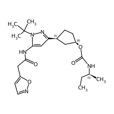 CC[C@H](C)NC(=O)O[C@@H]1CC[C@H](c2cc(NC(=O)Cc3ccno3)n(C(C)(C)C)n2)C1